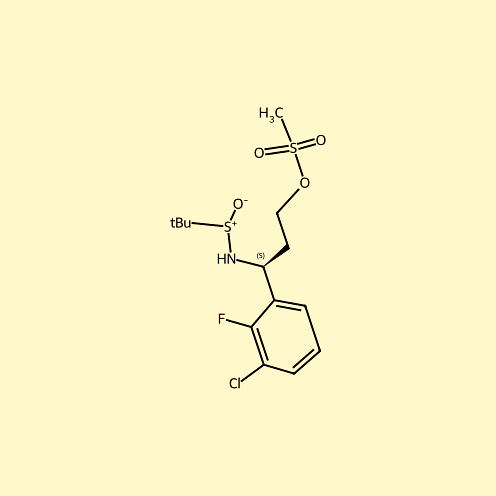 CC(C)(C)[S+]([O-])N[C@@H](CCOS(C)(=O)=O)c1cccc(Cl)c1F